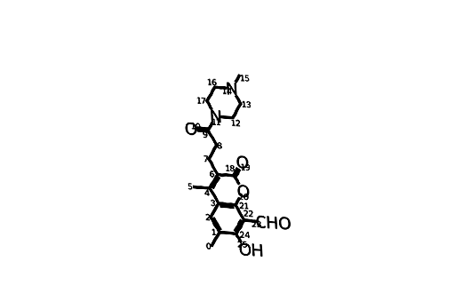 Cc1cc2c(C)c(CCC(=O)N3CCN(C)CC3)c(=O)oc2c(C=O)c1O